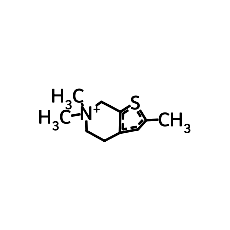 Cc1cc2c(s1)C[N+](C)(C)CC2